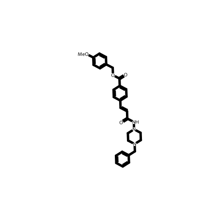 COc1ccc(COC(=O)c2ccc(/C=C/C(=O)NN3CCN(Cc4ccccc4)CC3)cc2)cc1